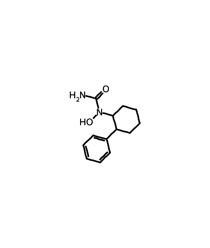 NC(=O)N(O)C1CCCCC1c1ccccc1